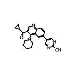 N#Cc1ncc(-c2ccc3ncc(C(=O)C4CC4)c(N4CCCCC4)c3c2)cn1